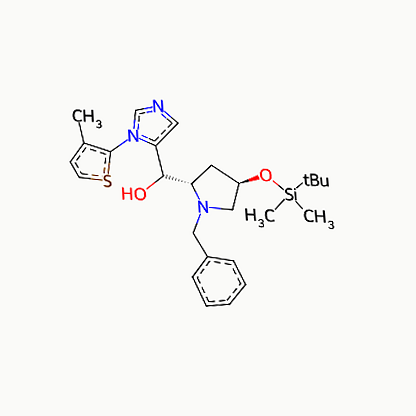 Cc1ccsc1-n1cncc1C(O)[C@@H]1C[C@@H](O[Si](C)(C)C(C)(C)C)CN1Cc1ccccc1